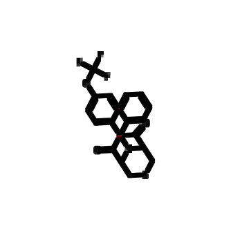 O=C1C2CSCC(C(=O)N1c1ccc(OC(F)(F)F)cc1)N2Cc1ccccc1